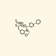 O=C1NC(=S)SC1=Cc1ccc2c(c1)N(C(=O)c1ccc(-c3ccccc3)cc1)CCO2